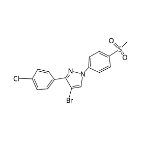 CS(=O)(=O)c1ccc(-n2cc(Br)c(-c3ccc(Cl)cc3)n2)cc1